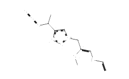 C=CN/C=C(/Cn1cc(C(C)N=[N+]=[N-])nn1)NC